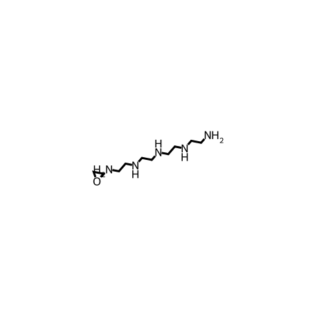 C1CO1.NCCNCCNCCNCCN